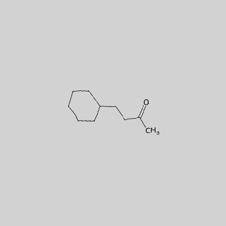 CC(=O)CCC1CCCCC1